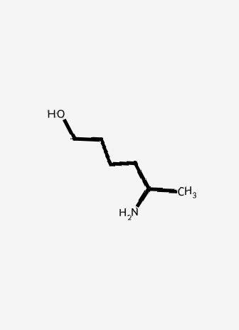 CC(N)CCC[CH]O